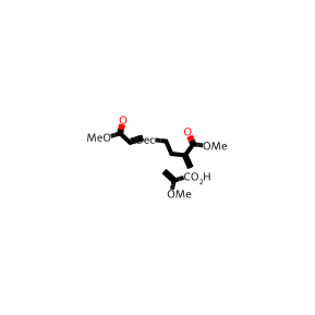 C=C(CCCCCCCCCCCC)C(=O)OC.C=C(OC)C(=O)O.C=CC(=O)OC